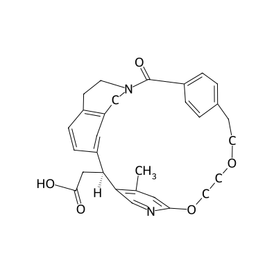 Cc1cc2ncc1[C@@H](CC(=O)O)c1ccc3c(c1)CN(CC3)C(=O)c1ccc(cc1)CCOCCO2